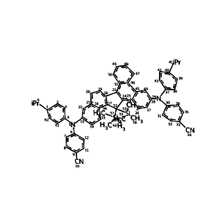 CC(C)c1ccc(N(c2ccc(C#N)cc2)c2ccc3c4c(ccc3c2)-c2c(c3ccc(N(c5ccc(C#N)cc5)c5ccc(C(C)C)cc5)cc3c3ccccc23)C4([Si](C)(C)C)[Si](C)(C)C)cc1